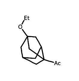 CCOC12CC3CC(C1)C(C(C)=O)(C3)C2